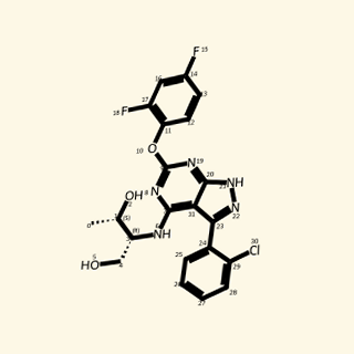 C[C@H](O)[C@@H](CO)Nc1nc(Oc2ccc(F)cc2F)nc2[nH]nc(-c3ccccc3Cl)c12